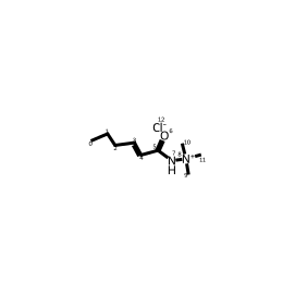 CCCC=CC(=O)N[N+](C)(C)C.[Cl-]